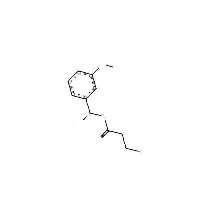 CC(C)CCC(=O)N[C@@H](C)c1cccc(OC(F)(F)F)c1